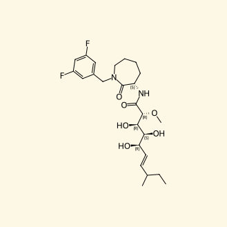 CCC(C)C=C[C@@H](O)[C@H](O)[C@@H](O)[C@@H](OC)C(=O)N[C@H]1CCCCN(Cc2cc(F)cc(F)c2)C1=O